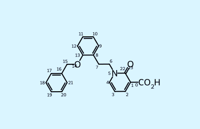 O=C(O)c1cccn(CCc2ccccc2OCc2ccccc2)c1=O